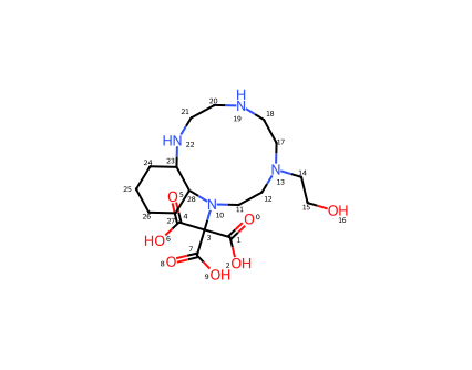 O=C(O)C(C(=O)O)(C(=O)O)N1CCN(CCO)CCNCCNC2CCCCC21